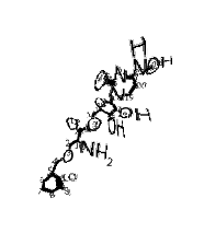 N[C@@H](COCc1ccccc1)C(=O)OC[C@H]1O[C@@H](n2ccc(NO)nc2=O)[C@H](O)[C@@H]1O